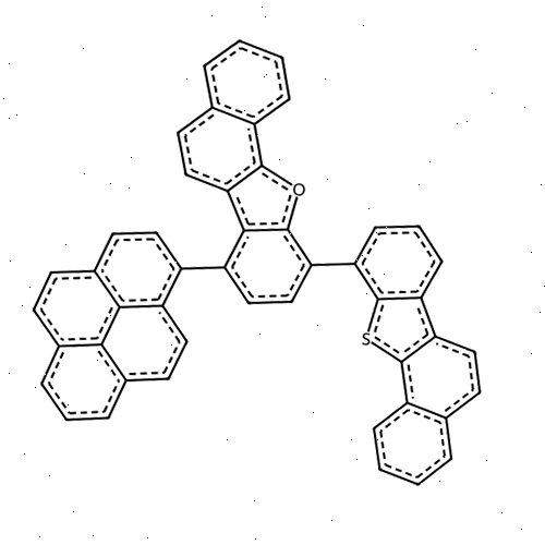 c1ccc2c(c1)ccc1c2oc2c(-c3cccc4c3sc3c5ccccc5ccc43)ccc(-c3ccc4ccc5cccc6ccc3c4c56)c21